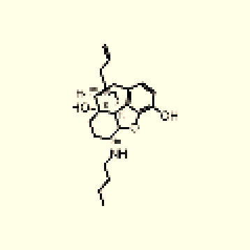 C=CCN1CC[C@]23c4c5ccc(O)c4OC2[C@H](NCCCC)CC[C@@]3(O)[C@H]1C5